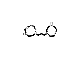 C(CN1CCNCCNCC1)CN1CCNCCNCC1